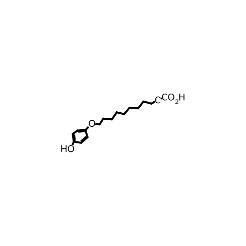 O=C(O)CCCCCCCCCCOc1ccc(O)cc1